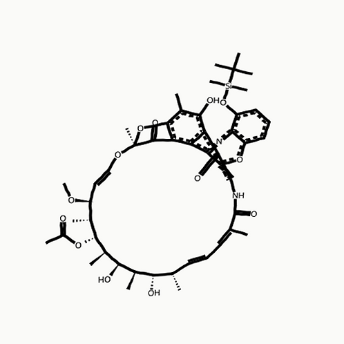 CO[C@H]1/C=C/O[C@@]2(C)Oc3c(C)c(O)c4c(=O)c(c5oc6cccc(O[Si](C)(C)C(C)(C)C)c6nc-5c4c3C2=O)NC(=O)/C(C)=C\C=C\[C@H](C)[C@H](O)[C@@H](C)[C@@H](O)[C@@H](C)[C@H](OC(C)=O)[C@@H]1C